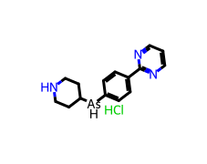 Cl.c1cnc(-c2ccc([AsH]C3CCNCC3)cc2)nc1